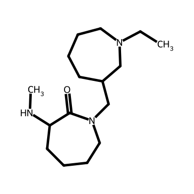 CCN1CCCCC(CN2CCCCC(NC)C2=O)C1